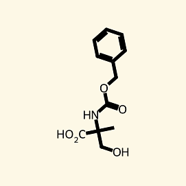 CC(CO)(NC(=O)OCc1ccccc1)C(=O)O